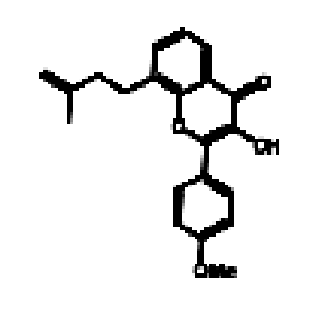 C=C(C)CCc1cccc2c(=O)c(O)c(-c3ccc(OC)cc3)oc12